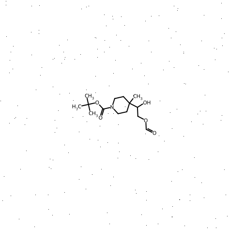 CC(C)(C)OC(=O)N1CCC(C)(C(O)COC=O)CC1